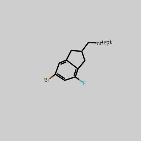 CCCCCCCCC1Cc2cc(Br)cc(F)c2C1